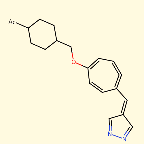 CC(=O)C1CCC(COC2=CC=C=C(C=C3C=NN=C3)C=C2)CC1